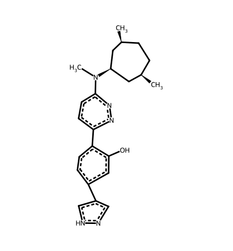 C[C@@H]1CC[C@H](C)C[C@H](N(C)c2ccc(-c3ccc(-c4cn[nH]c4)cc3O)nn2)C1